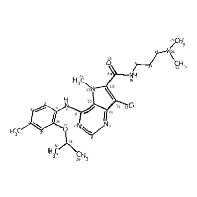 Cc1ccc(Nc2ncnc3c(Cl)c(C(=O)NCCCN(C)C)n(C)c23)c(OC(C)C)c1